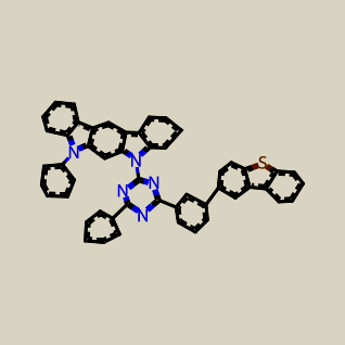 c1ccc(-c2nc(-c3cccc(-c4ccc5sc6ccccc6c5c4)c3)nc(-n3c4ccccc4c4cc5c6ccccc6n(-c6ccccc6)c5cc43)n2)cc1